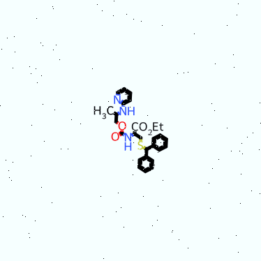 CCOC(=O)C(CSC(c1ccccc1)c1ccccc1)NC(=O)OCC(C)Nc1ccccn1